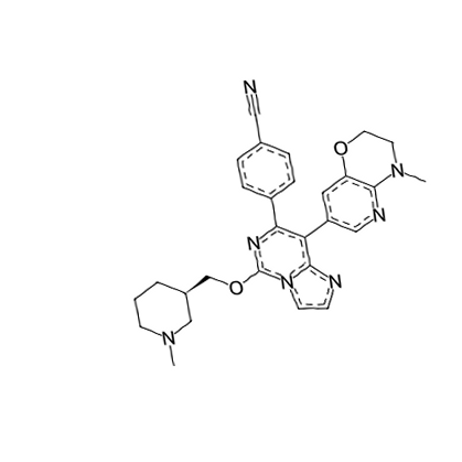 CN1CCC[C@@H](COc2nc(-c3ccc(C#N)cc3)c(-c3cnc4c(c3)OCCN4C)c3nccn23)C1